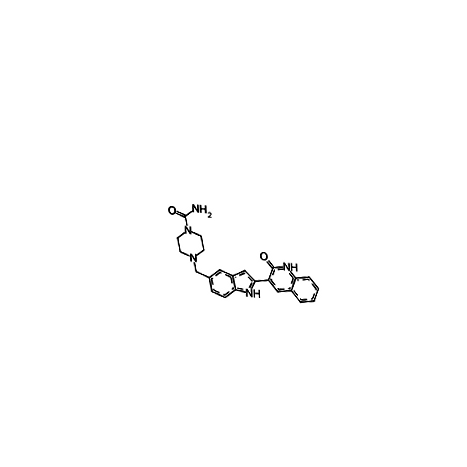 NC(=O)N1CCN(Cc2ccc3[nH]c(-c4cc5ccccc5[nH]c4=O)cc3c2)CC1